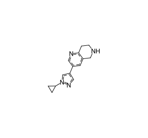 c1nc2c(cc1-c1cnn(C3CC3)c1)CNCC2